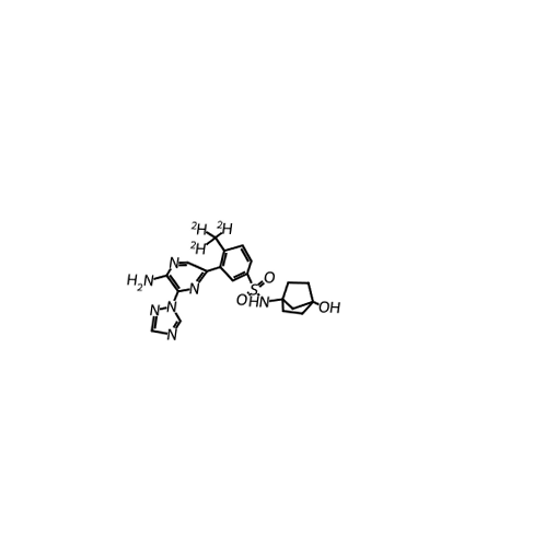 [2H]C([2H])([2H])c1ccc(S(=O)(=O)NC23CCC(O)(CC2)C3)cc1-c1cnc(N)c(-n2cncn2)n1